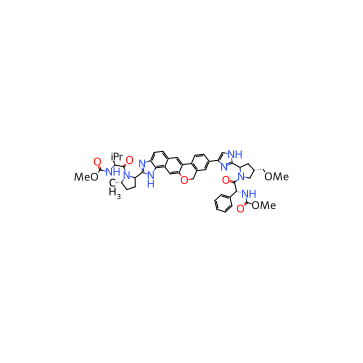 COC[C@H]1CC(c2nc(-c3ccc4c(c3)COc3cc5c(ccc6nc(C7CC[C@H](C)N7C(=O)[C@@H](NC(=O)OC)C(C)C)[nH]c65)cc3-4)c[nH]2)N(C(=O)[C@H](NC(=O)OC)c2ccccc2)C1